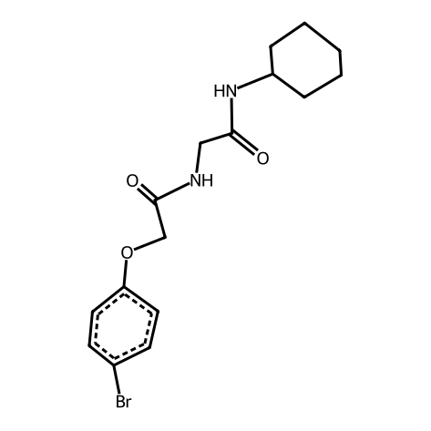 O=C(COc1ccc(Br)cc1)NCC(=O)NC1CCCCC1